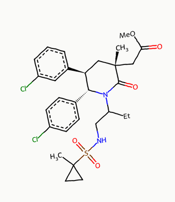 CCC(CNS(=O)(=O)C1(C)CC1)N1C(=O)[C@@](C)(CC(=O)OC)C[C@H](c2cccc(Cl)c2)[C@H]1c1ccc(Cl)cc1